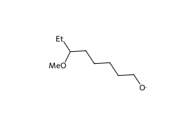 CCC(CCCCC[O])OC